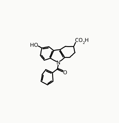 O=C(O)C1CCc2c(c3cc(O)ccc3n2C(=O)c2ccccc2)C1